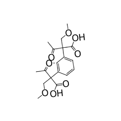 COCC(C(C)=O)(C(=O)O)c1[c]c(C(COC)(C(C)=O)C(=O)O)ccc1